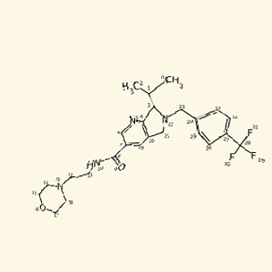 CC(C)C1c2ncc(C(=O)NCCN3CCOCC3)cc2CN1Cc1ccc(C(F)(F)F)cc1